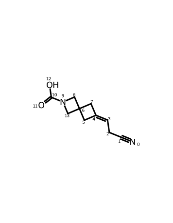 N#CCC=C1CC2(C1)CN(C(=O)O)C2